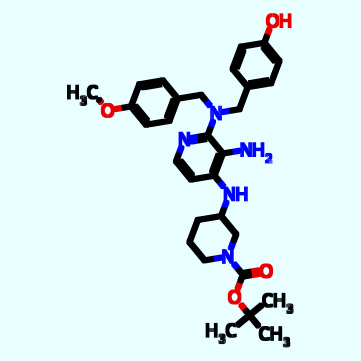 COc1ccc(CN(Cc2ccc(O)cc2)c2nccc(NC3CCCN(C(=O)OC(C)(C)C)C3)c2N)cc1